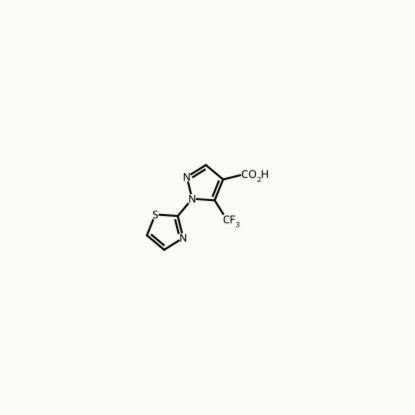 O=C(O)c1cnn(-c2nccs2)c1C(F)(F)F